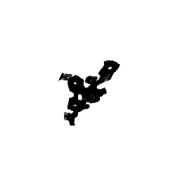 CNCc1ccc(-c2ccccc2C2C(C(=O)Nc3cccnc3)=C(C)ON2OC)cc1.Cl